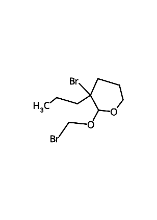 CCCC1(Br)CCCOC1OCBr